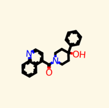 O=C(c1ccnc2ccccc12)N1CCC(O)(c2ccccc2)CC1